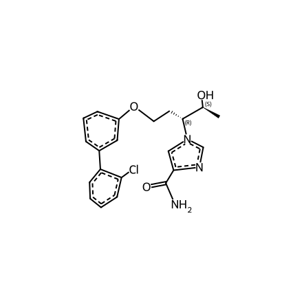 C[C@H](O)[C@@H](CCOc1cccc(-c2ccccc2Cl)c1)n1cnc(C(N)=O)c1